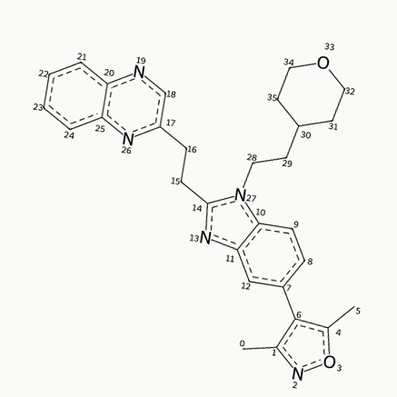 Cc1noc(C)c1-c1ccc2c(c1)nc(CCc1cnc3ccccc3n1)n2CCC1CCOCC1